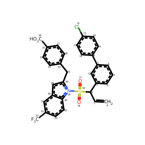 C=CC(c1cccc(-c2ccc(Cl)cc2)c1)S(=O)(=O)n1c(Cc2ccc(C(=O)O)cc2)cc2cc(C(F)(F)F)ccc21